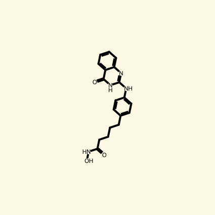 O=C(CCCCc1ccc(Nc2nc3ccccc3c(=O)[nH]2)cc1)NO